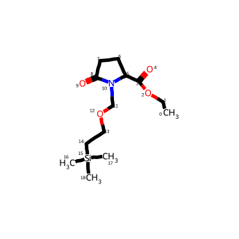 CCOC(=O)C1CCC(=O)N1COCC[Si](C)(C)C